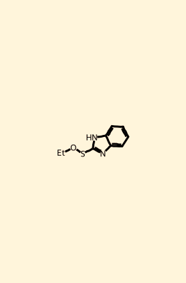 CCOSc1nc2ccccc2[nH]1